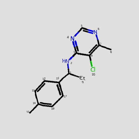 CCC(Nc1ncnc(C)c1Cl)c1ccc(C)cc1